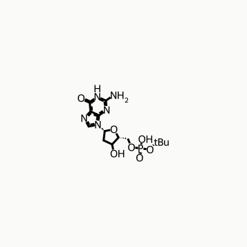 CC(C)(C)OP(=O)(O)OC[C@H]1O[C@@H](n2cnc3c(=O)[nH]c(N)nc32)CC1O